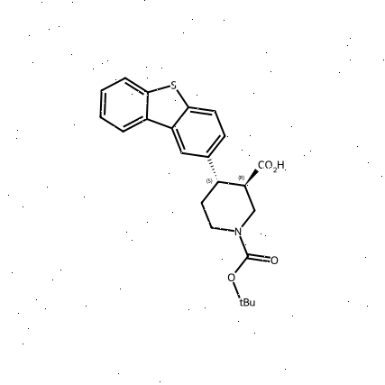 CC(C)(C)OC(=O)N1CC[C@H](c2ccc3sc4ccccc4c3c2)[C@@H](C(=O)O)C1